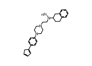 CCCN(CCN1CCN(c2ccc(C3=CC=CC3)cc2)CC1)C1CCc2ccccc2C1